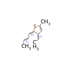 C/C=c1/cc(C)s/c1=C/C=C/C